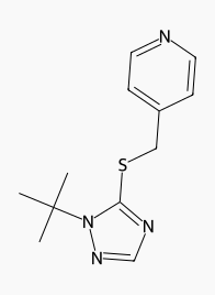 CC(C)(C)n1ncnc1SCc1ccncc1